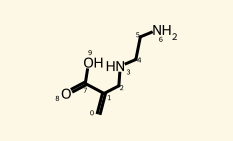 C=C(CNCCN)C(=O)O